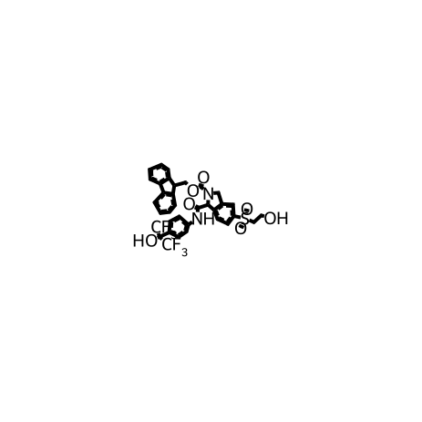 O=C(Nc1ccc(C(O)(C(F)(F)F)C(F)(F)F)cc1)C1c2ccc(S(=O)(=O)CCO)cc2CN1C(=O)OCC1c2ccccc2-c2ccccc21